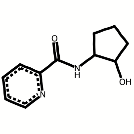 O=C(NC1CCCC1O)c1ccccn1